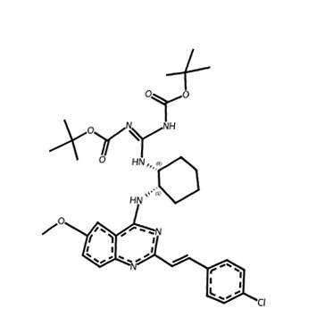 COc1ccc2nc(C=Cc3ccc(Cl)cc3)nc(N[C@H]3CCCC[C@H]3NC(=NC(=O)OC(C)(C)C)NC(=O)OC(C)(C)C)c2c1